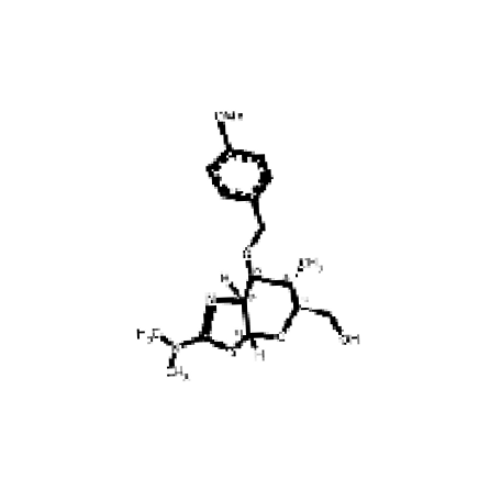 COc1ccc(CO[C@H]2[C@H](C)[C@@H](CO)O[C@@H]3SC(N(C)C)=N[C@H]23)cc1